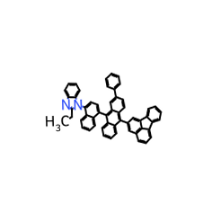 CCc1nc2ccccc2n1-c1ccc(-c2c3ccccc3c(-c3cc4c5c(cccc5c3)-c3ccccc3-4)c3ccc(-c4ccccc4)cc23)c2ccccc12